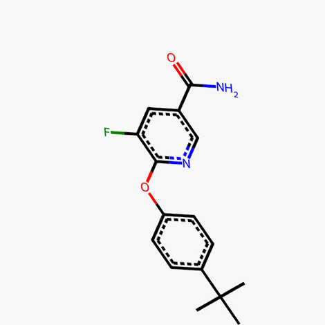 CC(C)(C)c1ccc(Oc2ncc(C(N)=O)cc2F)cc1